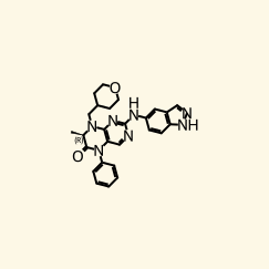 C[C@@H]1C(=O)N(c2ccccc2)c2cnc(Nc3ccc4[nH]ncc4c3)nc2N1CC1CCOCC1